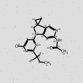 CCC(F)(F)c1nc(Cl)cc(N2CC3(CC3)c3cnc(NC(C)=O)cc32)n1